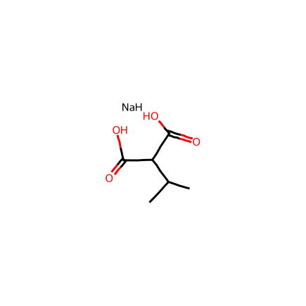 CC(C)C(C(=O)O)C(=O)O.[NaH]